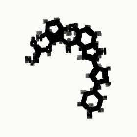 NC(=O)O[C@@H]1[C@H](Nc2c(Cl)cnc3[nH]c(-c4cnn(C5CCNCC5)c4)nc23)[C@H]2C=C[C@@H]1C2